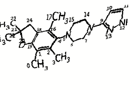 Cc1c(C)c(N2CCN(c3cc[nH]n3)CC2)c(C)c2c1OC(C)(C)C2